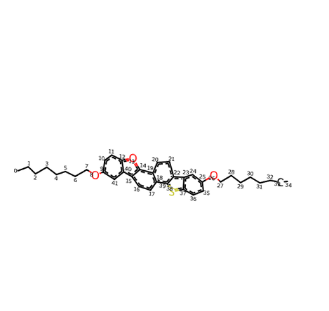 CCCCCCCCOc1ccc2oc3c(ccc4c3ccc3c5cc(OCCCCCCCC)ccc5sc34)c2c1